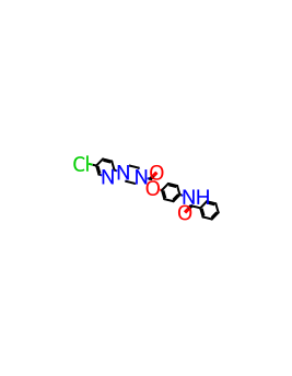 O=C(Nc1ccc(OC(=O)N2CCN(c3ccc(Cl)cn3)CC2)cc1)c1ccccc1